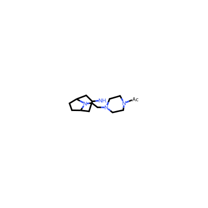 CC(=O)N1CCN(CCN2C3CCC2CC(N)C3)CC1